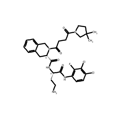 CC1(C)CCN(C(=O)CCC(=O)N2Cc3ccccc3C[C@H]2C(=O)N[C@@H](CCN)C(=O)Nc2ccc(Cl)c(Cl)c2F)C1